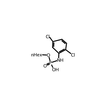 CCCCCCOP(=O)(O)Nc1cc(Cl)ccc1Cl